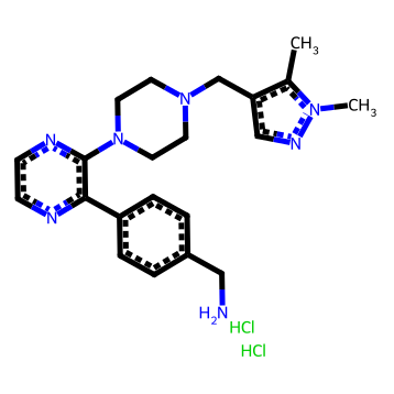 Cc1c(CN2CCN(c3nccnc3-c3ccc(CN)cc3)CC2)cnn1C.Cl.Cl